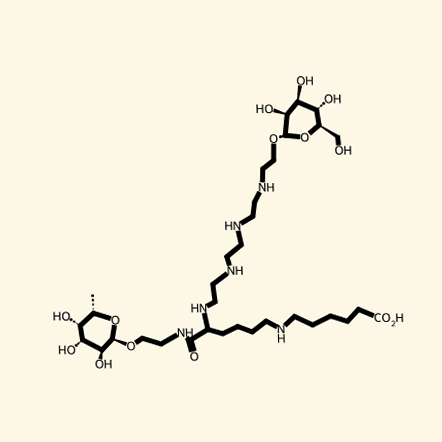 C[C@@H]1O[C@@H](OCCNC(=O)C(CCCCNCCCCCC(=O)O)NCCNCCNCCNCCO[C@H]2O[C@H](CO)[C@@H](O)[C@H](O)[C@@H]2O)[C@@H](O)[C@H](O)[C@@H]1O